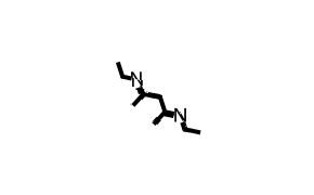 CC/N=C(\C)C/C(C)=N/CC